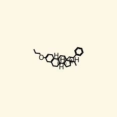 CCCOC1=CCC2=C(CC[C@@H]3[C@@H]2CC[C@@]2(CCc4ccccc4)[C@H]3CC[C@@]2(O)CC)C1